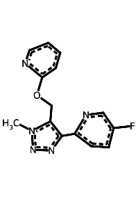 Cn1nnc(-c2ccc(F)cn2)c1COc1ccccn1